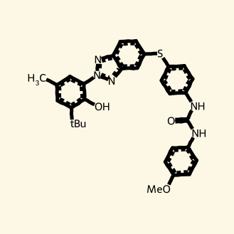 COc1ccc(NC(=O)Nc2ccc(Sc3ccc4nn(-c5cc(C)cc(C(C)(C)C)c5O)nc4c3)cc2)cc1